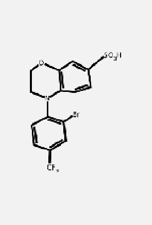 O=S(=O)(O)c1ccc2c(c1)OCCN2c1ccc(C(F)(F)F)cc1Br